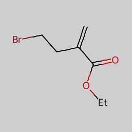 C=C(CCBr)C(=O)OCC